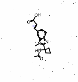 CC(=O)NC1(c2nc3ccc(/C=C/C(=O)O)cc3n2C)CCC1